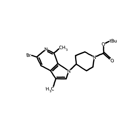 Cc1cn(C2CCN(C(=O)OC(C)(C)C)CC2)c2c(C)nc(Br)cc12